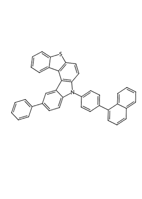 c1ccc(-c2ccc3c(c2)c2c4c(ccc2n3-c2ccc(-c3cccc5ccccc35)cc2)sc2ccccc24)cc1